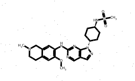 COc1cc2c(cc1Nc1ncc3cnn([C@H]4CC[C@H](NS(C)(=O)=O)CC4)c3n1)CN(C)CC2